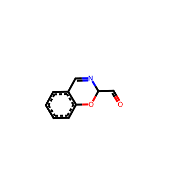 O=CC1N=Cc2ccccc2O1